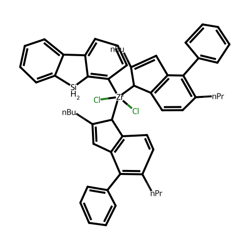 CCCCC1=Cc2c(ccc(CCC)c2-c2ccccc2)[CH]1[Zr]([Cl])([Cl])([c]1cccc2c1[SiH2]c1ccccc1-2)[CH]1C(CCCC)=Cc2c1ccc(CCC)c2-c1ccccc1